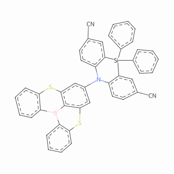 N#Cc1ccc2c(c1)[Si](c1ccccc1)(c1ccccc1)c1cc(C#N)ccc1N2c1cc2c3c(c1)Sc1ccccc1B3c1ccccc1S2